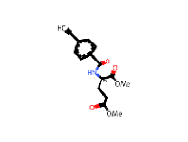 C#Cc1ccc(C(=O)N[C@H](CCC(=O)OC)C(=O)OC)cc1